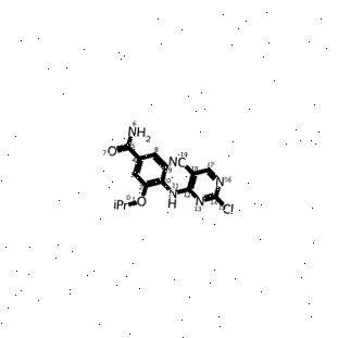 CC(C)Oc1cc(C(N)=O)ccc1Nc1nc(Cl)ncc1C#N